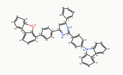 c1ccc(-c2cc(-c3ccc(-c4cccc5c4oc4ccccc45)cc3)nc(-c3ccc(-n4c5ccccc5c5ccccc54)cc3)n2)cc1